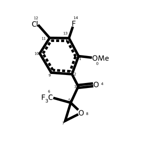 COc1c(C(=O)C2(C(F)(F)F)CO2)ccc(Cl)c1F